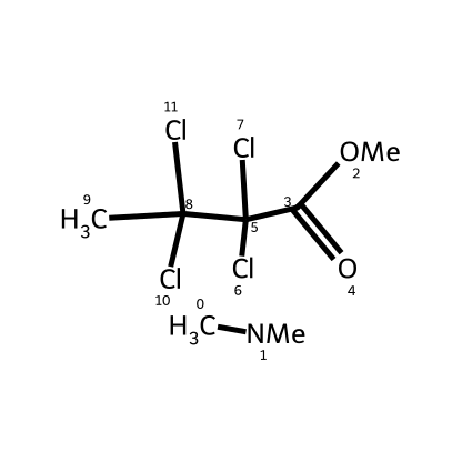 CNC.COC(=O)C(Cl)(Cl)C(C)(Cl)Cl